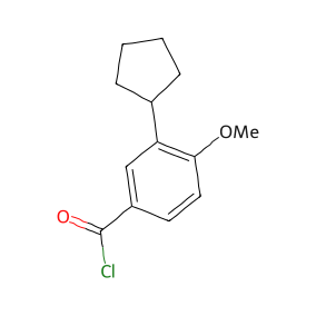 COc1ccc(C(=O)Cl)cc1C1CCCC1